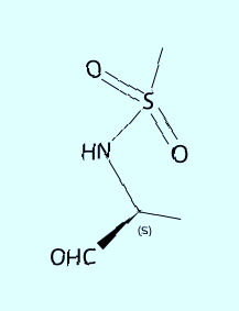 C[C@@H](C=O)NS(C)(=O)=O